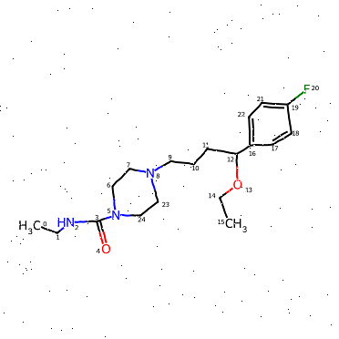 CCNC(=O)N1CCN(CCCC(OCC)c2ccc(F)cc2)CC1